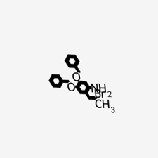 C/C(Br)=C/c1cc(OCc2ccccc2)c(OCc2ccccc2)cc1N